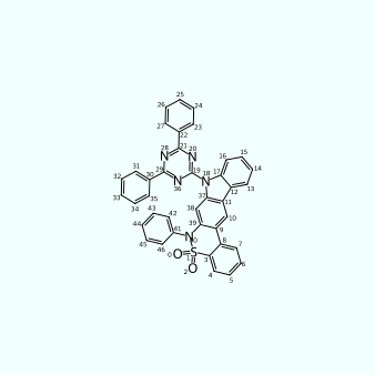 O=S1(=O)c2ccccc2-c2cc3c4ccccc4n(-c4nc(-c5ccccc5)nc(-c5ccccc5)n4)c3cc2N1c1ccccc1